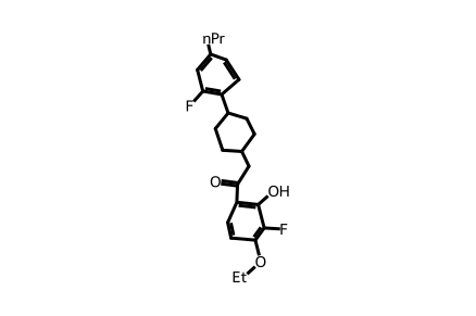 CCCc1ccc(C2CCC(CC(=O)c3ccc(OCC)c(F)c3O)CC2)c(F)c1